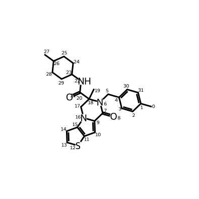 Cc1ccc(CN2C(=O)c3cc4sccc4n3CC2(C)C(=O)NC2CCC(C)CC2)cc1